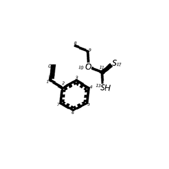 C=Cc1ccccc1.CCOC(=S)S